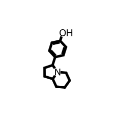 Oc1ccc(C2CCC3CCCCN32)cc1